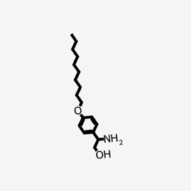 CCCCCCCCCCOc1ccc(C(N)CO)cc1